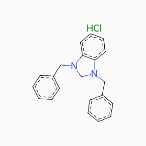 Cl.c1ccc(CN2CN(Cc3ccccc3)c3ccccc32)cc1